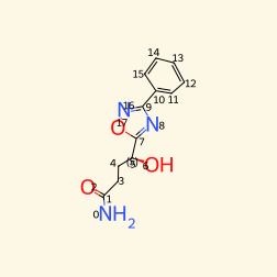 NC(=O)CC[C@H](O)c1nc(-c2ccccc2)no1